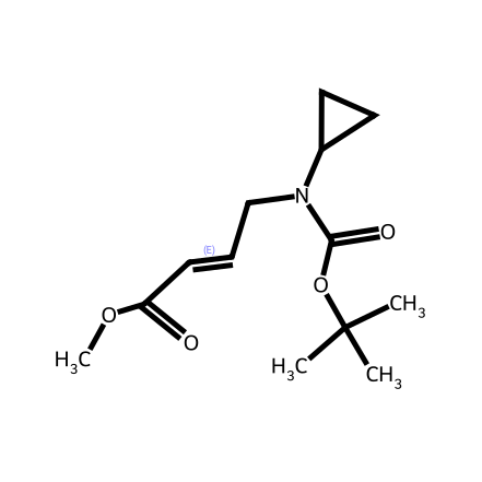 COC(=O)/C=C/CN(C(=O)OC(C)(C)C)C1CC1